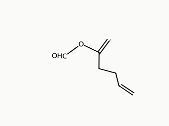 [CH]=C(CCC=C)OC=O